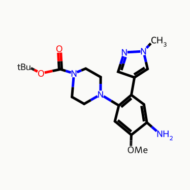 COc1cc(N2CCN(C(=O)OC(C)(C)C)CC2)c(-c2cnn(C)c2)cc1N